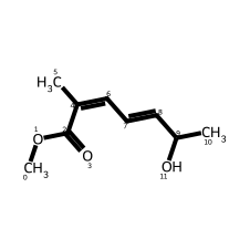 COC(=O)/C(C)=C\C=C\C(C)O